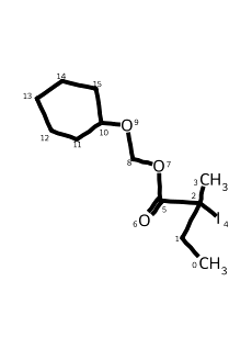 CCC(C)(I)C(=O)OCOC1CCCCC1